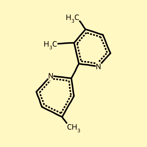 Cc1ccnc(-c2nccc(C)c2C)c1